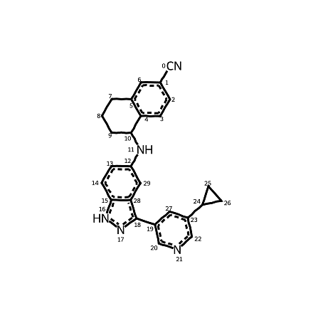 N#Cc1ccc2c(c1)CCCC2Nc1ccc2[nH]nc(-c3cncc(C4CC4)c3)c2c1